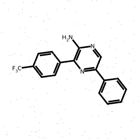 Nc1ncc(-c2cc[c]cc2)nc1-c1ccc(C(F)(F)F)cc1